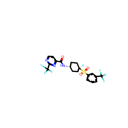 O=C(N[C@H]1CC[C@](F)(S(=O)(=O)c2cccc(C(F)(F)F)c2)CC1)c1ccnc(C(F)(F)F)n1